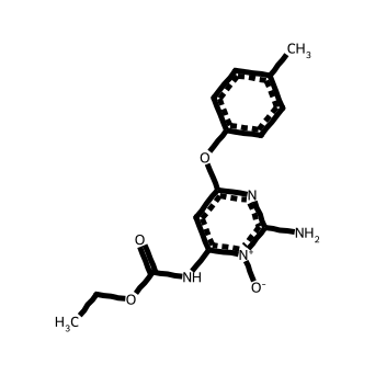 CCOC(=O)Nc1cc(Oc2ccc(C)cc2)nc(N)[n+]1[O-]